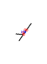 CCCCCCCCCOC(=O)CNCC(=O)OC(CCCCCCCC)CCCCCCCC